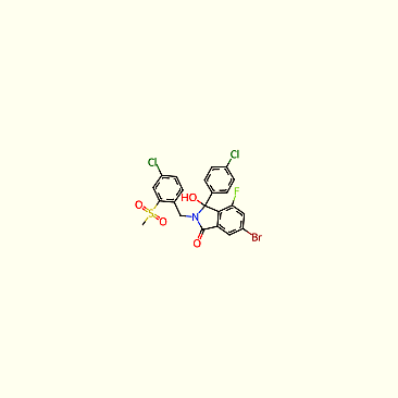 CS(=O)(=O)c1cc(Cl)ccc1CN1C(=O)c2cc(Br)cc(F)c2C1(O)c1ccc(Cl)cc1